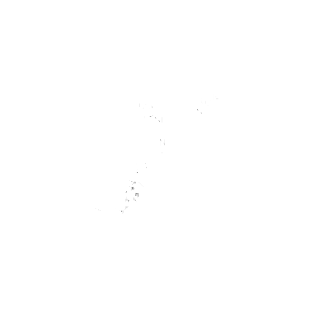 CC(C)CCC[C@@H](C)[C@H]1CC[C@H]2[C@@H]3CC=C4C[C@@H](OC(=O)CCCC(=O)N(CCCCCCCCNC(=O)OC(C)(C)C)CCCNC(=O)OC(C)(C)C)CC[C@]4(C)[C@H]3CC[C@]12C